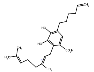 C=CCCCCc1cc(C(=O)O)c(C/C=C(\C)CCC=C(C)C)c(O)c1O